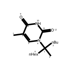 CCCCCCC(C)(CCCC)n1cc(C)c(=O)[nH]c1=O